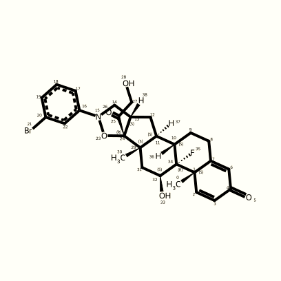 C[C@]12C=CC(=O)C=C1CC[C@H]1[C@@H]3C[C@H]4CN(c5cccc(Br)c5)O[C@@]4(C(=O)CO)[C@@]3(C)C[C@H](O)[C@@]12F